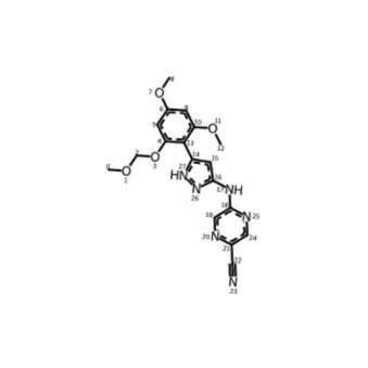 COCOc1cc(OC)cc(OC)c1-c1cc(Nc2cnc(C#N)cn2)n[nH]1